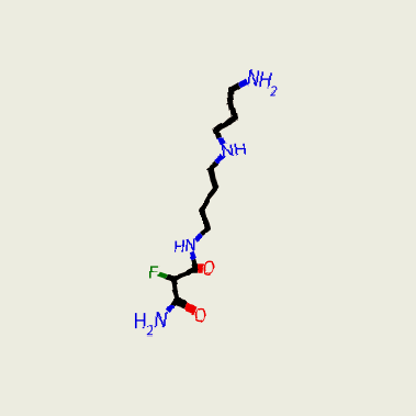 NCCCNCCCCNC(=O)C(F)C(N)=O